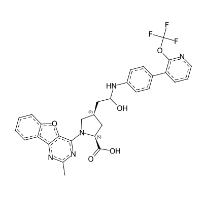 Cc1nc(N2C[C@@H](CC(O)Nc3ccc(-c4cccnc4OC(F)(F)F)cc3)C[C@H]2C(=O)O)c2oc3ccccc3c2n1